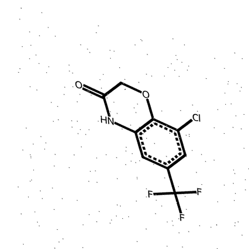 O=C1COc2c(Cl)cc(C(F)(F)F)cc2N1